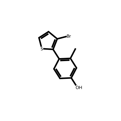 Cc1cc(O)ccc1-c1sccc1Br